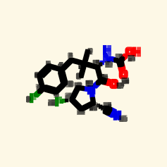 CC(C)(Cc1ccc(F)cc1)[C@H](NC(=O)O)C(=O)N1C[C@@H](F)C[C@H]1C#N